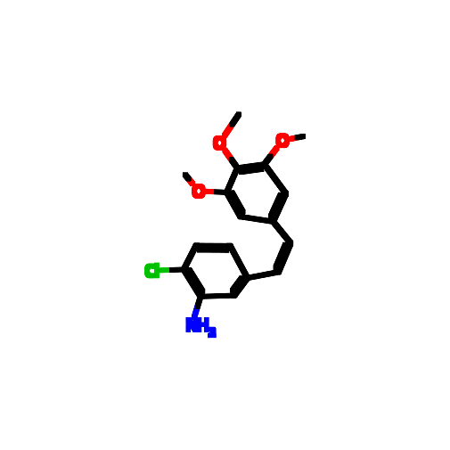 COc1cc(/C=C\c2ccc(Cl)c(N)c2)cc(OC)c1OC